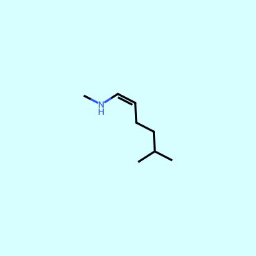 CN/C=C\CCC(C)C